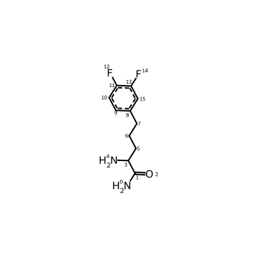 NC(=O)C(N)CCCc1ccc(F)c(F)c1